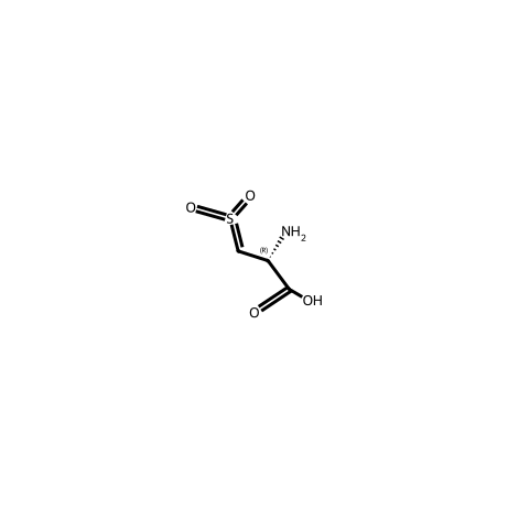 N[C@@H](C=S(=O)=O)C(=O)O